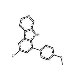 COc1ccc(-c2cc(Cl)cc3c2[nH]c2cnccc23)cc1